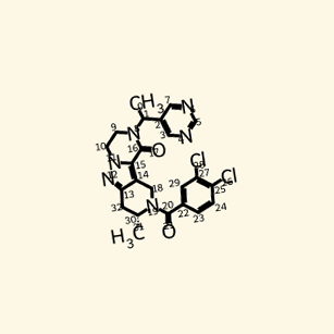 CC(c1cncnc1)N1CCn2nc3c(c2C1=O)CN(C(=O)c1ccc(Cl)c(Cl)c1)[C@H](C)C3